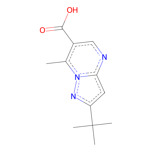 Cc1c(C(=O)O)cnc2cc(C(C)(C)C)nn12